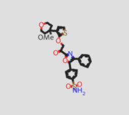 COC1(c2ccsc2OCC(=O)c2nc(-c3ccccc3)c(-c3ccc(S(N)(=O)=O)cc3)o2)CCOCC1